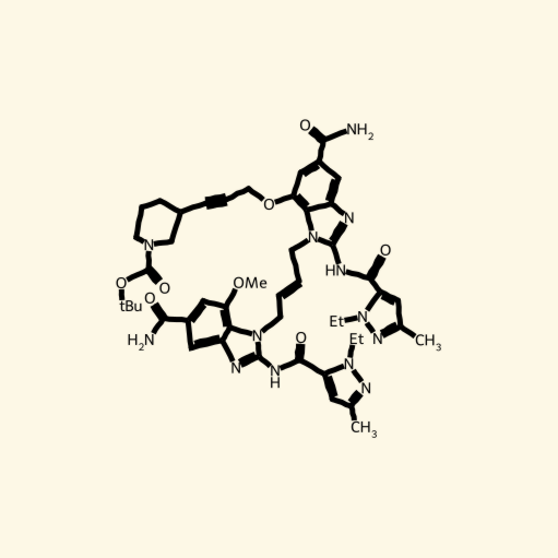 CCn1nc(C)cc1C(=O)Nc1nc2cc(C(N)=O)cc(OC)c2n1C/C=C/Cn1c(NC(=O)c2cc(C)nn2CC)nc2cc(C(N)=O)cc(OCC#CC3CCCN(C(=O)OC(C)(C)C)C3)c21